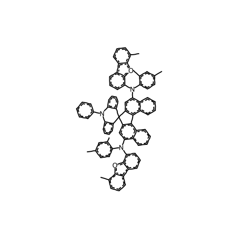 Cc1ccc(N(c2cc3c(c4ccccc24)-c2c(cc(N(c4ccc(C)cc4C)c4cccc5c4oc4c(C)cccc45)c4ccccc24)C32c3ccccc3N(c3ccccc3)c3ccccc32)c2cccc3c2oc2c(C)cccc23)c(C)c1